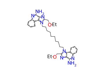 CCOCc1nc2c(N)nc3ccccc3c2n1CCCCCCCCCCn1c(COCC)nc2c(N)nc3ccccc3c21